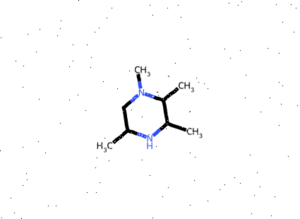 CC1CN(C)C(C)C(C)N1